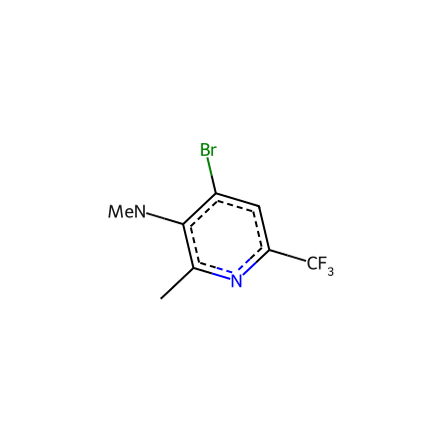 CNc1c(Br)cc(C(F)(F)F)nc1C